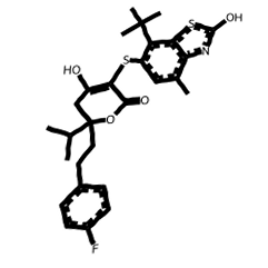 Cc1cc(SC2=C(O)CC(CCc3ccc(F)cc3)(C(C)C)OC2=O)c(C(C)(C)C)c2sc(O)nc12